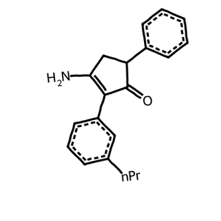 CCCc1cccc(C2=C(N)CC(c3ccccc3)C2=O)c1